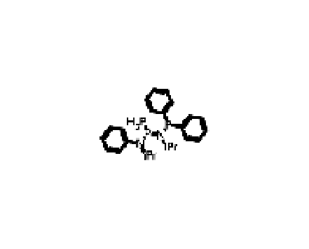 CC(C)N(c1ccccc1)P(P)N(C(C)C)P(c1ccccc1)c1ccccc1